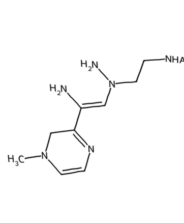 CC(=O)NCCN(N)/C=C(\N)C1=NC=CN(C)C1